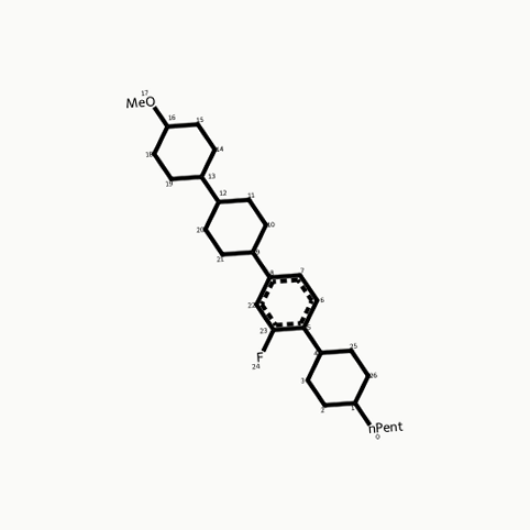 CCCCCC1CCC(c2ccc(C3CCC(C4CCC(OC)CC4)CC3)cc2F)CC1